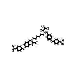 O=C(C(Cl)Cl)N(CCCCCCN(Cc1ccc(Oc2ccc([N+](=O)[O-])cc2)cc1)C(=O)C(Cl)Cl)Cc1ccc(Oc2ccc([N+](=O)[O-])cc2)cc1